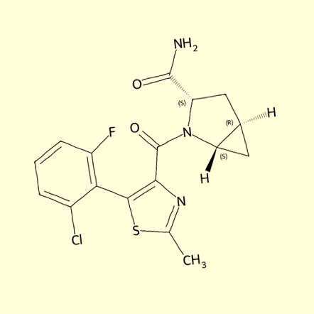 Cc1nc(C(=O)N2[C@H](C(N)=O)C[C@H]3C[C@@H]32)c(-c2c(F)cccc2Cl)s1